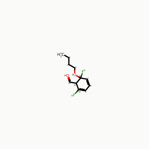 CCCCOC1(F)C=CC=C(F)C1C=O